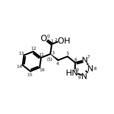 O=C(O)[C@@H](CCc1nnn[nH]1)c1ccccc1